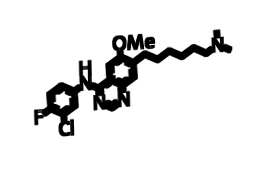 COc1cc2c(Nc3ccc(F)c(Cl)c3)ncnc2cc1CCCCCCN(C)C